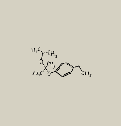 CCc1ccc(OC(C)(C)OC(C)C)cc1